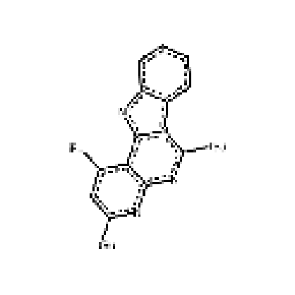 CCC(C)c1cc(C(C)(C)C)nc2nc(C(C)(C)C)n3c4ccccc4nc3c12